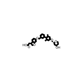 Cc1cc(OC[C@H]2C[C@H](O)CCO2)cc(C)c1-c1cccc(COc2ccc3c(c2)OCC3CC(=O)O)c1